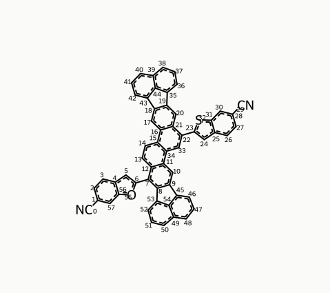 N#Cc1ccc2cc(-c3c4c(cc5c3ccc3c6cc7c(cc6c(-c6cc8ccc(C#N)cc8s6)cc53)-c3cccc5cccc-7c35)-c3cccc5cccc-4c35)oc2c1